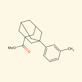 COC(=O)C12CC3CC(C1)CC(c1cccc(C)c1)(C3)C2